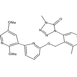 COc1cc(-c2cccc(OCc3c(C)cccc3-n3nnn(C)c3=O)n2)c(OC)nn1